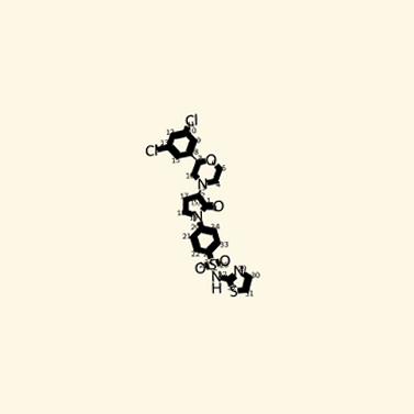 O=C1[C@@H](N2CCO[C@@H](c3cc(Cl)cc(Cl)c3)C2)CCN1c1ccc(S(=O)(=O)Nc2nccs2)cc1